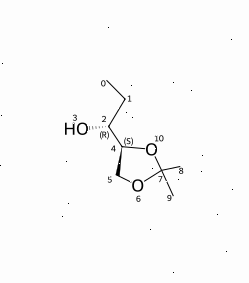 CC[C@@H](O)[C@@H]1COC(C)(C)O1